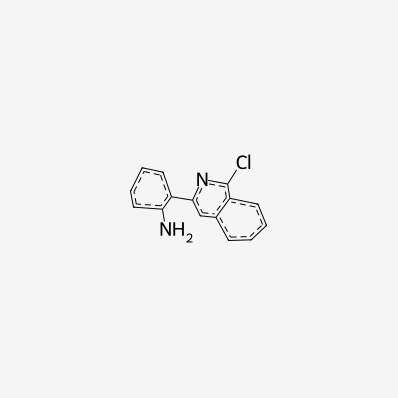 Nc1ccccc1-c1cc2ccccc2c(Cl)n1